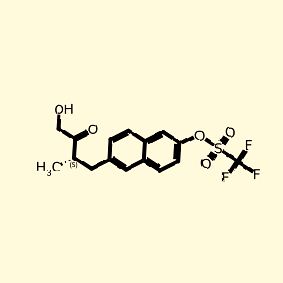 C[C@@H](Cc1ccc2cc(OS(=O)(=O)C(F)(F)F)ccc2c1)C(=O)CO